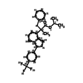 CC(C)OC(=O)C(C)(Cc1ccccc1)c1ccnc2c(-c3ccc(C(F)(F)F)cc3)cnn12